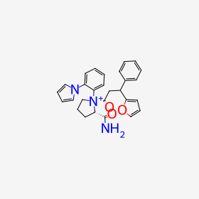 NC(=O)[C@@H]1CCC[N+]1(C(=O)CC(c1ccccc1)c1ccco1)c1ccccc1-n1cccc1